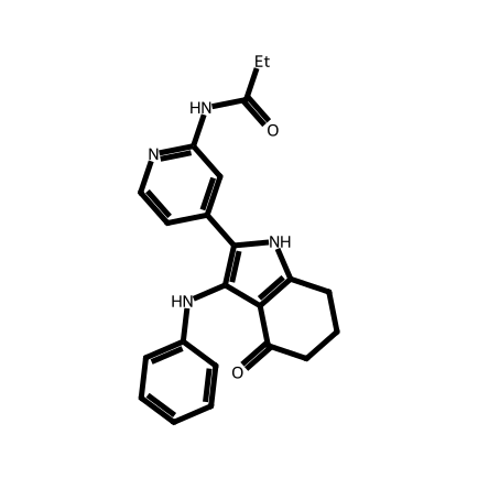 CCC(=O)Nc1cc(-c2[nH]c3c(c2Nc2ccccc2)C(=O)CCC3)ccn1